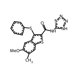 COc1cc2c(Sc3ccccc3)c(C(=O)Nc3nnn[nH]3)sc2cc1C